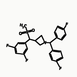 CS(=O)(=O)C(c1cc(F)cc(F)c1)C1CN(C(c2ccc(F)cc2)c2ccc(F)cc2)C1